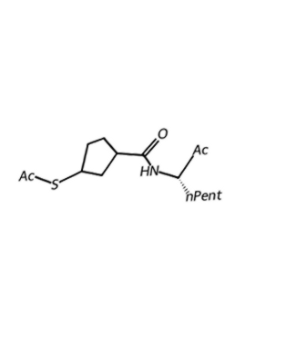 CCCCC[C@H](NC(=O)C1CCC(SC(C)=O)C1)C(C)=O